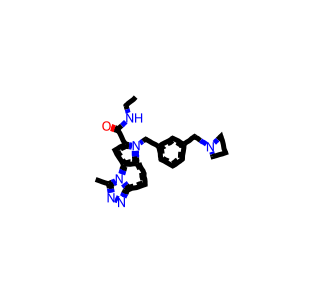 CCNC(=O)c1cc2c(ccc3nnc(C)n32)n1Cc1cccc(CN2CCC2)c1